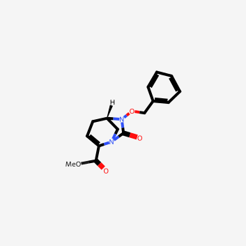 COC(=O)C1=CC[C@H]2CN1C(=O)N2OCc1ccccc1